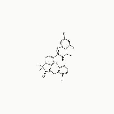 CC(NC(=O)c1ccc2c(c1)N(Cc1c(F)cccc1Cl)C(=O)C2(C)C)c1c(F)cc(F)cc1F